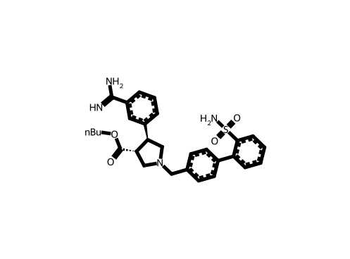 CCCCOC(=O)[C@H]1CN(Cc2ccc(-c3ccccc3S(N)(=O)=O)cc2)C[C@@H]1c1cccc(C(=N)N)c1